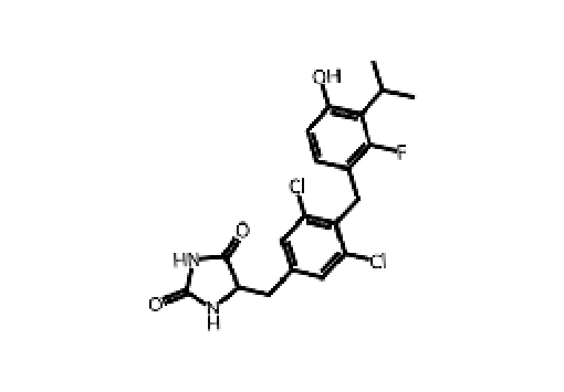 CC(C)c1c(O)ccc(Cc2c(Cl)cc(CC3NC(=O)NC3=O)cc2Cl)c1F